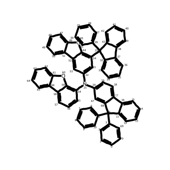 c1ccc(C2(c3ccccc3)c3ccccc3-c3ccc(N(c4cc(C5(c6ccccc6)c6ccccc6-c6ccccc65)c5oc6ccccc6c5c4)c4cccc5c4oc4ccccc45)cc32)cc1